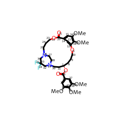 COc1cc(C(=O)O[C@H]2CCCOc3cc(cc(OC)c3OC)C(=O)OCCCN3CCN(CC2)CC(F)(F)C3)cc(OC)c1OC